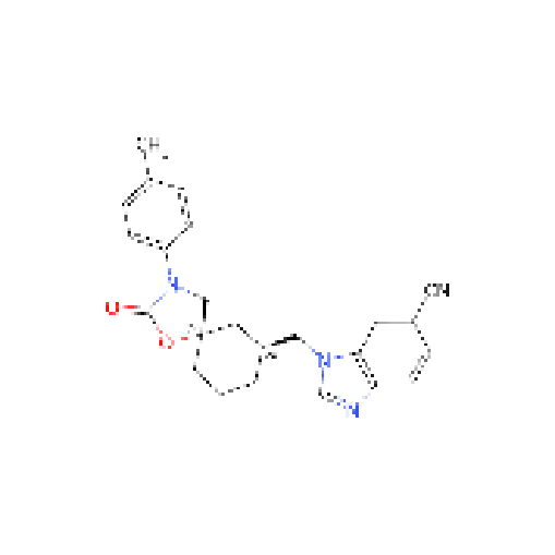 Cc1ccc(N2C[C@@]3(CCC[C@H](Cn4cnc5ccc(C#N)cc54)C3)OC2=O)cc1